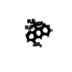 CC1CC=CC2=C1CC1CCCCC1N2C(C)(C)C